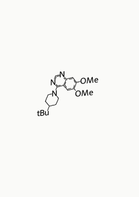 COc1cc2ncnc(N3CCC(C(C)(C)C)CC3)c2cc1OC